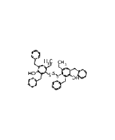 CCc1cc(Cc2ccccc2)c(O)c(Cc2ccccc2)c1SSSc1c(CC)cc(Cc2ccccc2)c(O)c1Cc1ccccc1